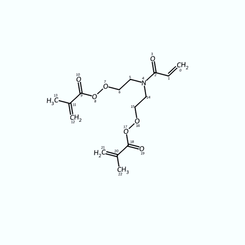 C=CC(=O)N(CCOOC(=O)C(=C)C)CCOOC(=O)C(=C)C